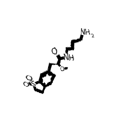 CO[C@@H](Cc1ccc2c(c1)S(=O)(=O)C=C2)C(=O)NC/C=C/CN